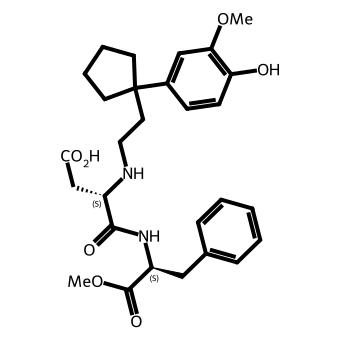 COC(=O)[C@H](Cc1ccccc1)NC(=O)[C@H](CC(=O)O)NCCC1(c2ccc(O)c(OC)c2)CCCC1